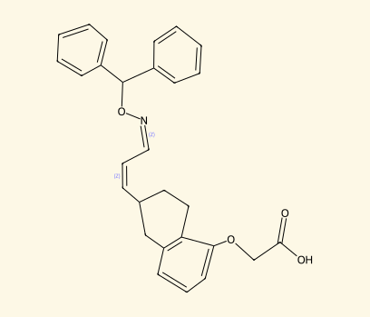 O=C(O)COc1cccc2c1CCC(/C=C\C=N/OC(c1ccccc1)c1ccccc1)C2